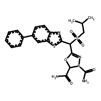 CC(C)CS(=O)(=O)C(C1=NN(C(N)=O)C(C(N)=O)O1)c1nc2ccc(-c3ccccc3)cc2s1